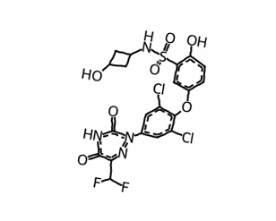 O=c1[nH]c(=O)n(-c2cc(Cl)c(Oc3ccc(O)c(S(=O)(=O)NC4CC(O)C4)c3)c(Cl)c2)nc1C(F)F